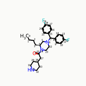 CCCC[C@H]1CN(C(c2ccc(F)cc2)c2ccc(F)cc2)CCN1C(=O)CC1CCNCC1